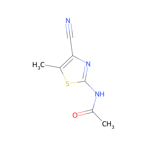 CC(=O)Nc1nc(C#N)c(C)s1